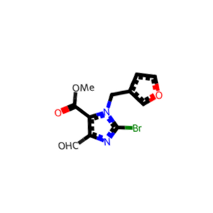 COC(=O)c1c(C=O)nc(Br)n1Cc1ccoc1